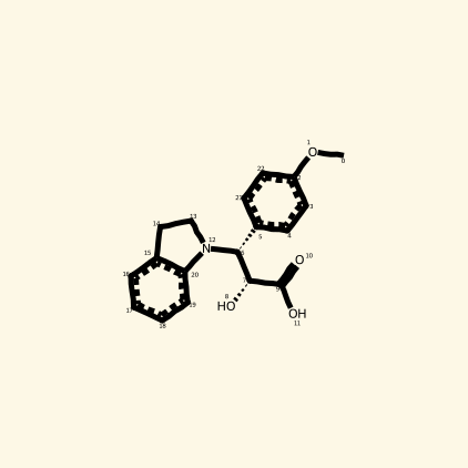 COc1ccc([C@H]([C@@H](O)C(=O)O)N2CCc3ccccc32)cc1